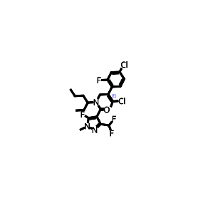 CCCC(CC)N(C/C(=C(\C)Cl)c1ccc(Cl)cc1F)C(=O)c1c(C(F)F)nn(C)c1F